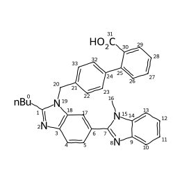 CCCCc1nc2ccc(-c3nc4ccccc4n3C)cc2n1Cc1ccc(-c2ccccc2C(=O)O)cc1